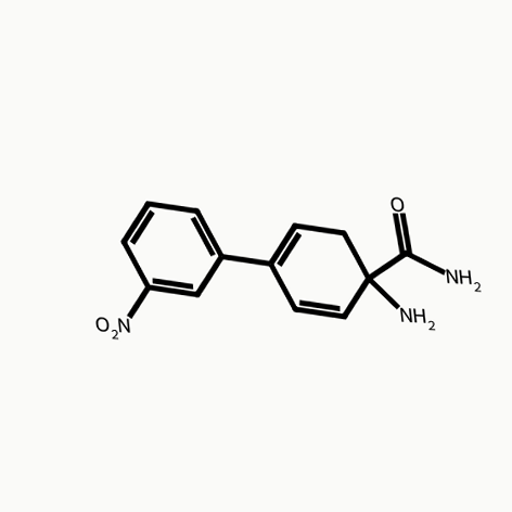 NC(=O)C1(N)C=CC(c2cccc([N+](=O)[O-])c2)=CC1